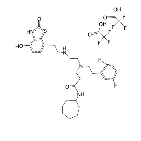 O=C(CCN(CCNCCc1ccc(O)c2[nH]c(=O)sc12)CCc1cc(F)ccc1F)NC1CCCCCC1.O=C(O)C(F)(F)F.O=C(O)C(F)(F)F